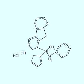 Cl.Cl.[CH3][Hf]([SiH2]c1ccccc1)([C]1=CC=CC1)[c]1cccc2c1Cc1ccccc1-2